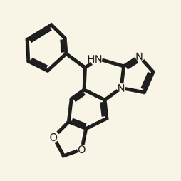 c1ccc(C2Nc3nccn3-c3cc4c(cc32)OCO4)cc1